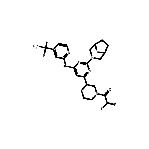 NC(F)(F)c1ccnc(Nc2cc(C3CCCN(C(=O)C(F)F)C3)nc(N3CC4CCC(C3)O4)n2)c1